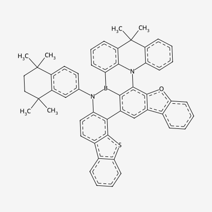 CC1(C)CCC(C)(C)c2cc(N3B4c5cccc6c5N(c5ccccc5C6(C)C)c5c4c(cc4c5oc5ccccc54)-c4c3ccc3c4sc4ccccc43)ccc21